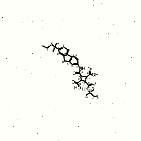 CCCC(C)(C)c1ccc2c(c1)Cc1cc(NC(=O)C3C(C(=O)O)C(C(=O)NC(C)(C)CC)C3C(=O)O)ccc1-2